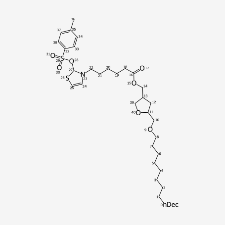 CCCCCCCCCCCCCCCCCCOCC1CC(COC(=O)CCCCCN2C=CSC2OS(=O)(=O)c2ccc(C)cc2)CO1